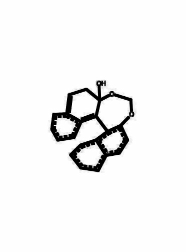 OC12CC=c3ccccc3=C1c1c(ccc3ccccc13)OCO2